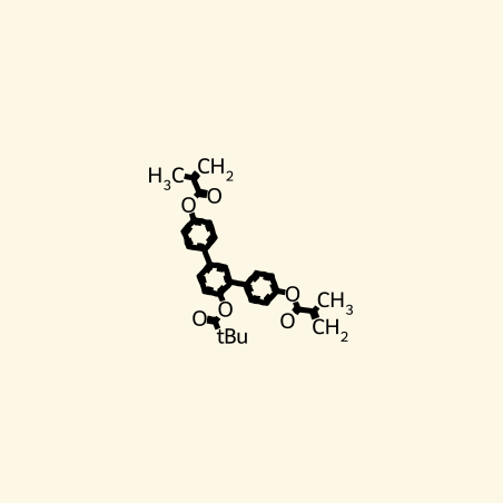 C=C(C)C(=O)Oc1ccc(-c2ccc(OC(=O)C(C)(C)C)c(-c3ccc(OC(=O)C(=C)C)cc3)c2)cc1